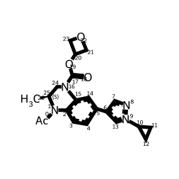 CC(=O)N1c2ccc(-c3cnn(C4CC4)c3)cc2N(C(=O)OC2COC2)C[C@@H]1C